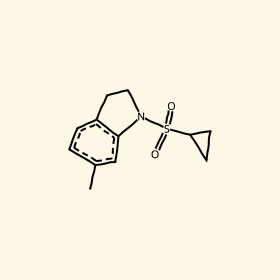 Cc1ccc2c(c1)N(S(=O)(=O)C1CC1)CC2